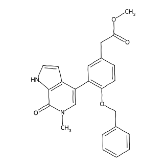 COC(=O)Cc1ccc(OCc2ccccc2)c(-c2cn(C)c(=O)c3[nH]ccc23)c1